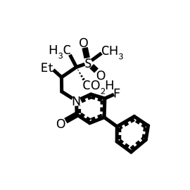 CCC(Cn1cc(F)c(-c2ccccc2)cc1=O)[C@](C)(C(=O)O)S(C)(=O)=O